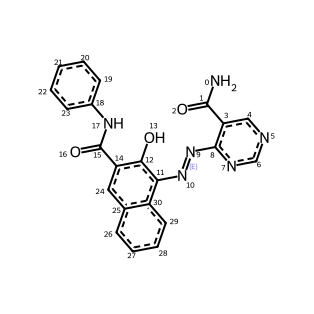 NC(=O)c1cncnc1/N=N/c1c(O)c(C(=O)Nc2ccccc2)cc2ccccc12